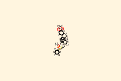 C[C@]12CC=C3C4=C(CC[C@H]3[C@@H]1CCC2=C=C[S+]([O-])c1ccccc1)CC1(CC4)OCCO1